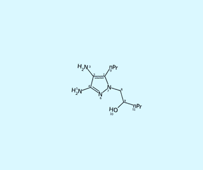 CCCc1c(N)c(N)nn1CC(O)CCC